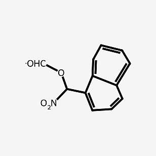 O=[C]OC(c1cccc2ccccc12)[N+](=O)[O-]